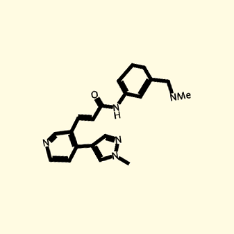 CNCC1=CC(NC(=O)/C=C/c2cnccc2-c2cnn(C)c2)=CCC1